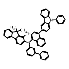 Cc1c(N(c2cccc(-c3ccccc3)c2)c2ccc(-c3ccc4c(c3)c3ccccc3n4-c3ccccc3)c3ccccc23)ccc2c1C(C)(C)c1ccccc1-2